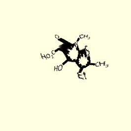 CCc1c(C)sc2c1c(O)c(C(=O)O)c(=O)n2C